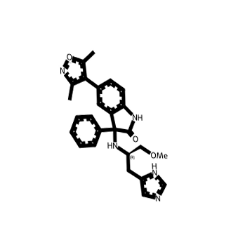 COC[C@@H](Cc1cnc[nH]1)NC1(c2ccccc2)C(=O)Nc2ccc(-c3c(C)noc3C)cc21